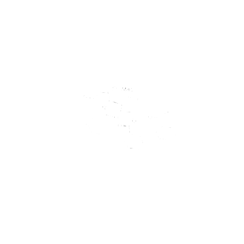 CSC1O[C@H](COC(=O)c2ccccc2)C(OC(=O)c2ccccc2)C(OC(=O)c2ccccc2)[C@H]1OC(=O)c1ccccc1